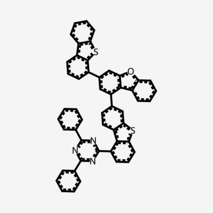 c1ccc(-c2nc(-c3ccccc3)nc(-c3cccc4sc5cc(-c6cc(-c7cccc8c7sc7ccccc78)cc7oc8ccccc8c67)ccc5c34)n2)cc1